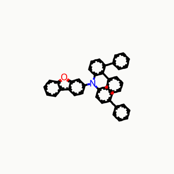 c1ccc(-c2ccc(N(c3ccc4c(c3)oc3ccccc34)c3cccc(-c4ccccc4)c3-c3ccccc3)cc2)cc1